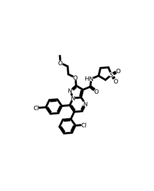 COCCOc1nn2c(-c3ccc(Cl)cc3)c(-c3ccccc3Cl)cnc2c1C(=O)NC1CCS(=O)(=O)C1